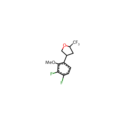 COc1c(C2COC(C(F)(F)F)C2)ccc(F)c1F